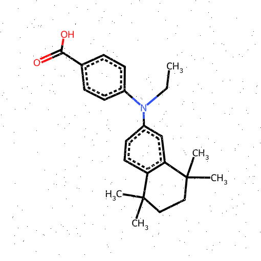 CCN(c1ccc(C(=O)O)cc1)c1ccc2c(c1)C(C)(C)CCC2(C)C